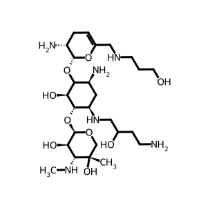 CN[C@@H]1[C@@H](O)[C@@H](O[C@H]2[C@H](NCC(O)CCN)C[C@H](N)C(O[C@H]3OC(CNCCCO)=CC[C@H]3N)[C@@H]2O)OC[C@]1(C)O